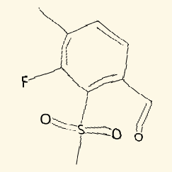 Cc1ccc(C=O)c(S(C)(=O)=O)c1F